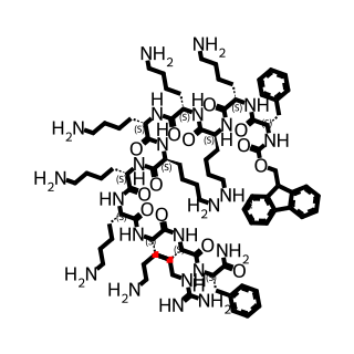 N=C(N)NCCC[C@H](NC(=O)[C@H](CCCCN)NC(=O)[C@H](CCCCN)NC(=O)[C@H](CCCCN)NC(=O)[C@H](CCCCN)NC(=O)[C@H](CCCCN)NC(=O)[C@H](CCCCN)NC(=O)[C@H](CCCCN)NC(=O)[C@H](Cc1ccccc1)NC(=O)OCC1c2ccccc2-c2ccccc21)C(=O)N[C@@H](CCCCN)C(=O)N[C@@H](Cc1ccccc1)C(N)=O